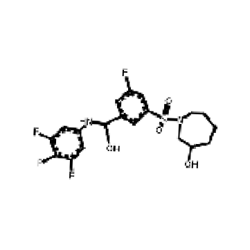 O=S(=O)(c1cc(F)cc(C(O)Nc2cc(F)c(F)c(F)c2)c1)N1CCCCC(O)C1